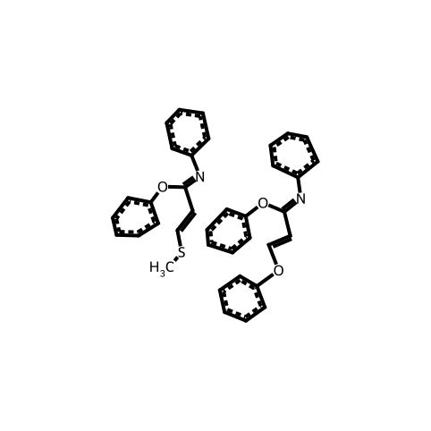 C(=CC(=Nc1ccccc1)Oc1ccccc1)Oc1ccccc1.CSC=CC(=Nc1ccccc1)Oc1ccccc1